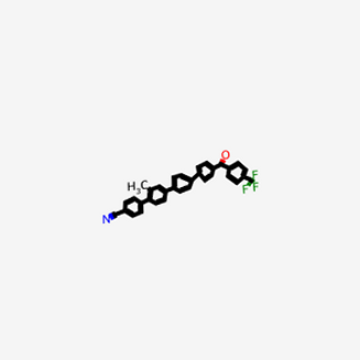 Cc1cc(-c2ccc(-c3ccc(C(=O)c4ccc(C(F)(F)F)cc4)cc3)cc2)ccc1-c1ccc(C#N)cc1